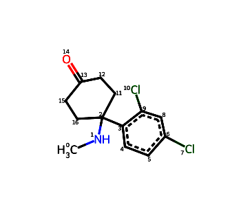 CNC1(c2ccc(Cl)cc2Cl)CCC(=O)CC1